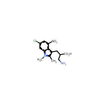 Cc1c(CC(CN)C(=O)O)c2c([N+](=O)[O-])cc(Cl)cc2n1C